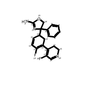 NC1=NC(c2ccccc2)(C2C=CC(F)=C(C3=C(F)C=NCC3)C2)CO1